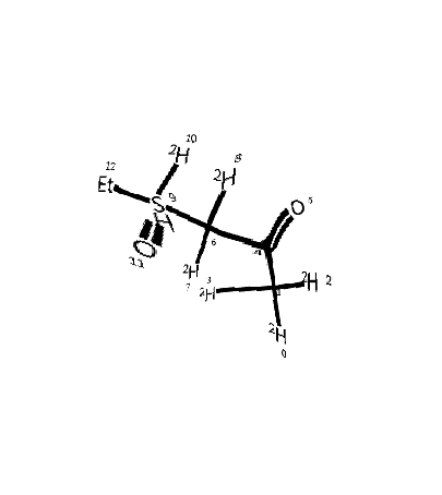 [2H]C([2H])([2H])C(=O)C([2H])([2H])[SH]([2H])(=O)CC